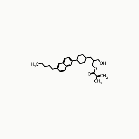 C=C(C)C(=O)OCC(CO)CC1CCC(c2ccc3cc(CCCCC)ccc3c2)CC1